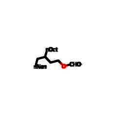 CCCCCCCCCCC(CCCCCCCC)CCO[C]=O